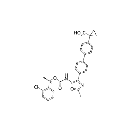 Cc1nc(-c2ccc(-c3ccc(C4(C(=O)O)CC4)cc3)cc2)c(NC(=O)O[C@H](C)c2ccccc2Cl)o1